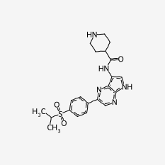 CC(C)S(=O)(=O)c1ccc(-c2cnc3[nH]cc(NC(=O)C4CCNCC4)c3n2)cc1